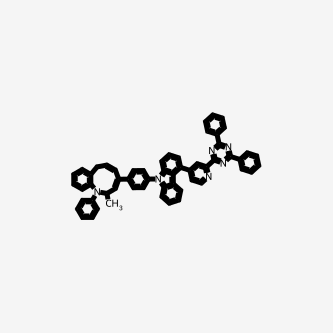 CC1/C=C(c2ccc(-n3c4ccccc4c4c(-c5ccnc(-c6nc(-c7ccccc7)nc(-c7ccccc7)n6)c5)cccc43)cc2)\C=C/Cc2ccccc2N1c1ccccc1